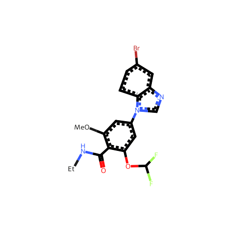 CCNC(=O)c1c(OC)cc(-n2cnc3cc(Br)ccc32)cc1OC(F)F